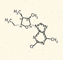 CC[C@H]1O[C@@H](n2cnc3c(C)nc(Cl)nc32)[C@H](C)[C@@H]1C